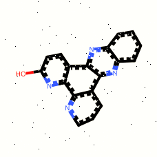 Oc1ccc2c(n1)c1ncccc1c1nc3ccccc3nc21